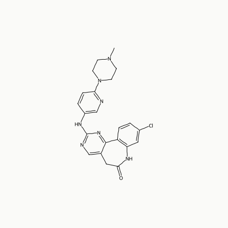 CN1CCN(c2ccc(Nc3ncc4c(n3)-c3ccc(Cl)cc3NC(=O)C4)cn2)CC1